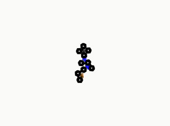 c1ccc([Si](c2ccccc2)(c2ccccc2)c2ccc(-n3c4ccccc4c4c3ccc3c5ccccc5n(-c5ccc(-c6cccc7c6sc6ccccc67)cc5)c34)cc2)cc1